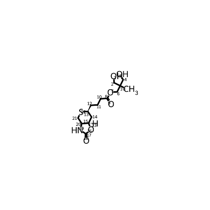 CC(CO)(CO)COC(=O)CCC[C@H]1C[C@H]2OC(=O)NC2CS1